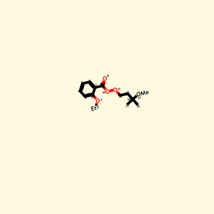 CCOc1ccccc1C(=O)OO[CH]CC(C)(C)OC